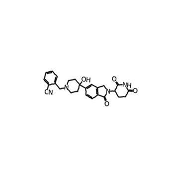 N#Cc1ccccc1CN1CCC(O)(c2ccc3c(c2)CN(C2CCC(=O)NC2=O)C3=O)CC1